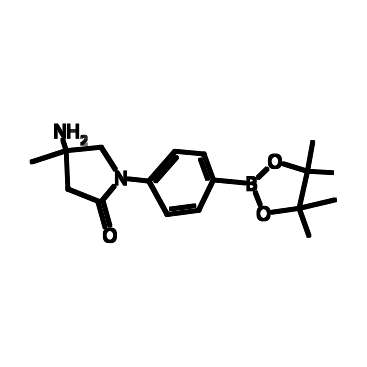 CC1(N)CC(=O)N(c2ccc(B3OC(C)(C)C(C)(C)O3)cc2)C1